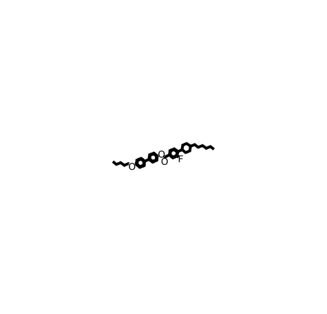 CCCCCCC1CCC(c2ccc(C(=O)Oc3ccc(-c4ccc(OCCCCC)cc4)cc3)cc2F)CC1